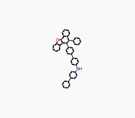 c1ccc(-c2ccc(Nc3ccc(-c4ccc(-c5c(-c6ccccc6)c6ccccc6c6oc7ccccc7c56)cc4)cc3)cc2)cc1